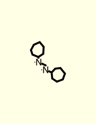 C1CCCC([N]C[N]C2CCCCCC2)CC1